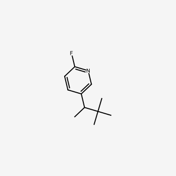 CC(c1ccc(F)nc1)C(C)(C)C